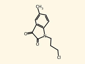 Cc1ccc2c(c1)C(=O)C(=O)N2CCCCl